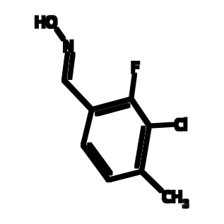 Cc1ccc(/C=N/O)c(F)c1Cl